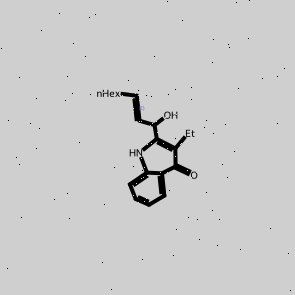 CCCCCC/C=C/C(O)c1[nH]c2ccccc2c(=O)c1CC